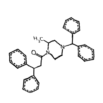 CC1CN(C(c2ccccc2)c2ccccc2)CCN1C(=O)CC(c1ccccc1)c1ccccc1